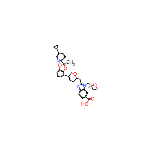 C[C@@]1(c2ccc(C3CC3)cn2)Oc2cccc(C3=CCC(Cc4nc5ccc(C(=O)O)cc5n4C[C@@H]4CCO4)OC3)c2O1